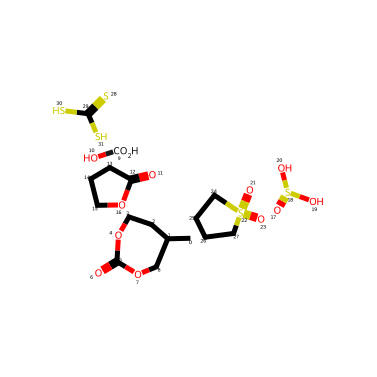 CC1CCOC(=O)OC1.O=C(O)O.O=C1CCCO1.O=S(O)O.O=S1(=O)CCCC1.S=C(S)S